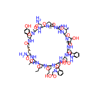 CCCC[C@H]1C(=O)N(C)[C@@H](CCCC)C(=O)N[C@@H](CC(C)C)C(=O)N[C@H](C(N)=O)CSCC(=O)N[C@@H](Cc2ccc(O)cc2)C(=O)N(C)[C@@H](C)C(=O)N[C@@H](CC(N)=O)C(=O)N2CCC[C@H]2C(=O)N[C@@H](CN)C(=O)N[C@@H](CC(C)C)C(=O)N2C[C@H](O)C[C@H]2C(=O)N[C@@H](Cc2c[nH]c3ccccc23)C(=O)N[C@@H](CC(=O)O)C(=O)N[C@@H](Cc2cn(CC(=O)O)c3ccccc23)C(=O)N1C